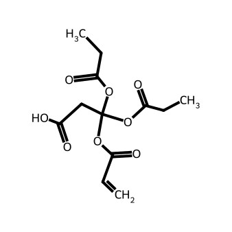 C=CC(=O)OC(CC(=O)O)(OC(=O)CC)OC(=O)CC